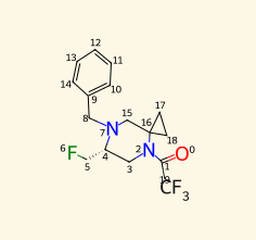 O=C(N1C[C@H](CF)N(Cc2ccccc2)CC12CC2)C(F)(F)F